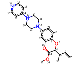 C=CC(C)C(Oc1ccc(N2CCN(c3ccncc3)CC2)cc1)C(=O)OC